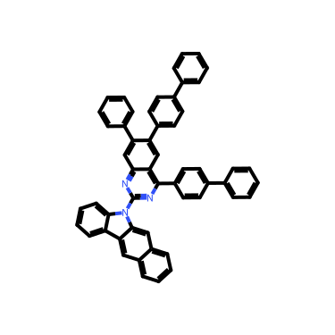 c1ccc(-c2ccc(-c3cc4c(-c5ccc(-c6ccccc6)cc5)nc(-n5c6ccccc6c6cc7ccccc7cc65)nc4cc3-c3ccccc3)cc2)cc1